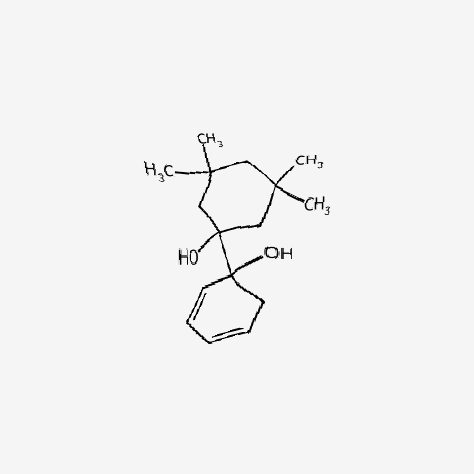 CC1(C)CC(C)(C)CC(O)(C2(O)C=CC=CC2)C1